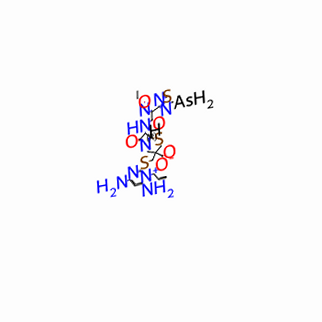 C=CC[n+]1c(N)cc(N)nc1SCC1(C(=O)[O-])CS[C@@H]2C(NC(=O)C(=NOCC)c3nsc([AsH2])n3)C(=O)N2C1